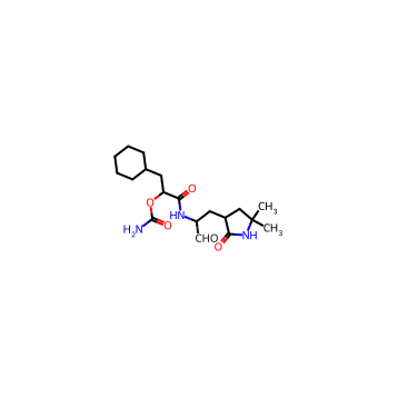 CC1(C)CC(CC(C=O)NC(=O)C(CC2CCCCC2)OC(N)=O)C(=O)N1